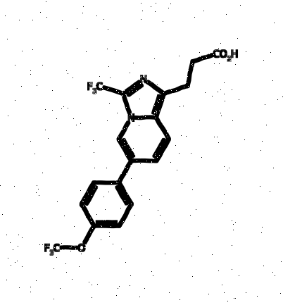 O=C(O)CCc1nc(C(F)(F)F)n2cc(-c3ccc(OC(F)(F)F)cc3)ccc12